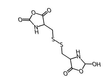 O=C1NC(CSSCC2NC(O)OC2=O)C(=O)O1